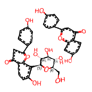 O=c1cc(-c2ccc(O)cc2)oc2c([C@@H]3O[C@H](CO)[C@@H](O)[C@H](O)[C@H]3O)c(O)ccc12.O=c1cc(-c2ccc(O)cc2)oc2cc(O)ccc12